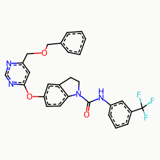 O=C(Nc1cccc(C(F)(F)F)c1)N1CCc2cc(Oc3cc(COCc4ccccc4)ncn3)ccc21